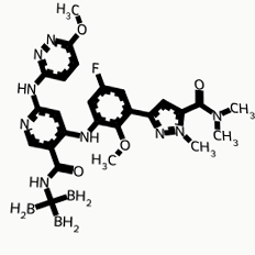 BC(B)(B)NC(=O)c1cnc(Nc2ccc(OC)nn2)cc1Nc1cc(F)cc(-c2cc(C(=O)N(C)C)n(C)n2)c1OC